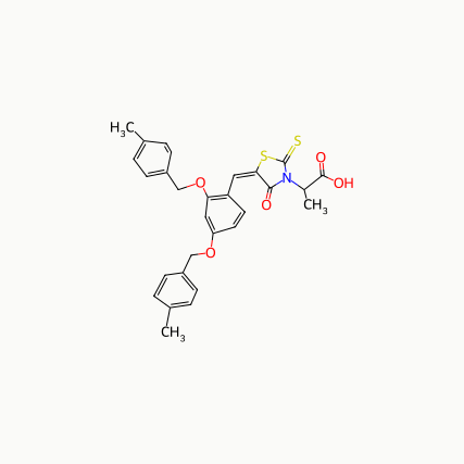 Cc1ccc(COc2ccc(C=C3SC(=S)N(C(C)C(=O)O)C3=O)c(OCc3ccc(C)cc3)c2)cc1